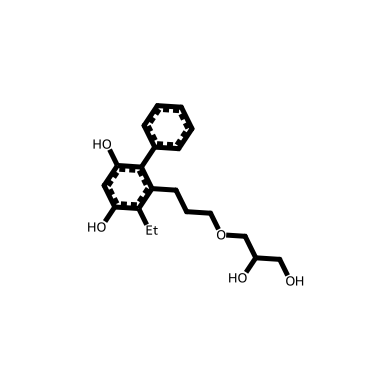 CCc1c(O)cc(O)c(-c2ccccc2)c1CCCOCC(O)CO